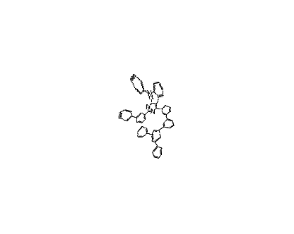 c1ccc(-c2cc(-c3ccccc3)cc(-c3cccc(-c4cccc(-c5nc(-c6cccc(-c7ccccc7)c6)nc6c5c5ccccc5n6-c5ccccc5)c4)c3)c2)cc1